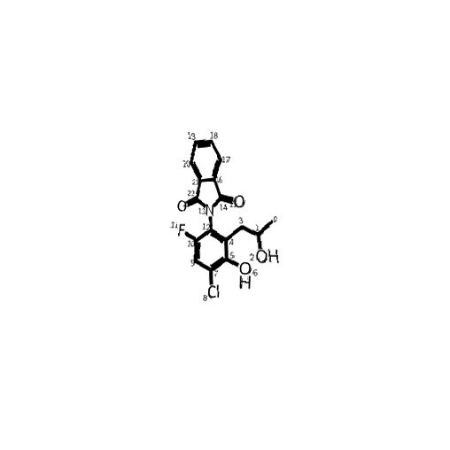 CC(O)Cc1c(O)c(Cl)cc(F)c1N1C(=O)c2ccccc2C1=O